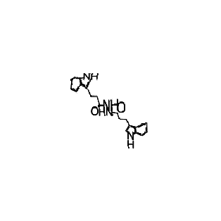 O=C(CCc1c[nH]c2ccccc12)NNC(=O)CCc1c[nH]c2ccccc12